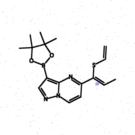 C=CS/C(=C\C)c1ccn2ncc(B3OC(C)(C)C(C)(C)O3)c2n1